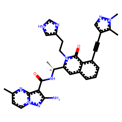 Cc1ccn2nc(N)c(C(=O)N[C@H](C)c3cc4cccc(C#Cc5cnn(C)c5C)c4c(=O)n3CCc3c[nH]cn3)c2n1